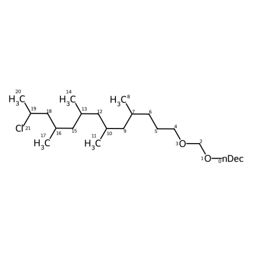 CCCCCCCCCCOCOCCCC(C)CC(C)CC(C)CC(C)CC(C)Cl